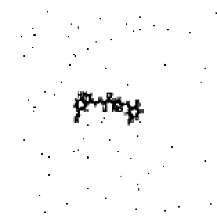 N#Cc1ccc2[nH]cc(CCNC(=O)c3cc(Cc4cc(F)ccc4F)on3)c2c1